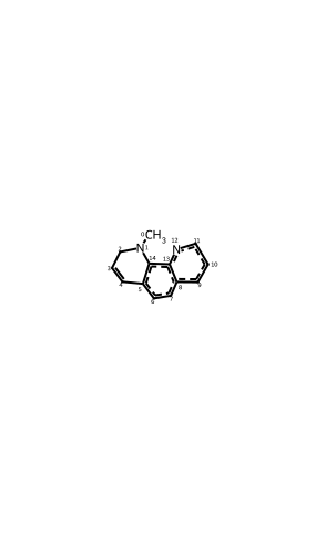 CN1CC=Cc2ccc3cccnc3c21